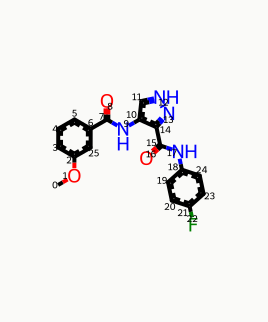 COc1cccc(C(=O)Nc2c[nH]nc2C(=O)Nc2ccc(F)cc2)c1